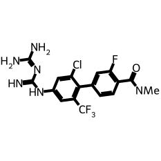 CNC(=O)c1ccc(-c2c(Cl)cc(NC(=N)N=C(N)N)cc2C(F)(F)F)cc1F